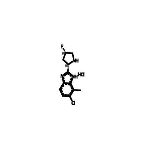 Cc1c(Cl)ccc2nc([C@@H]3C[C@H](F)CN3)[nH]c12.Cl